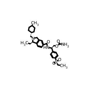 CC[C@@H]1c2ccc(C(=O)N[C@@H](COC(N)=O)c3ccc(S(=O)(=O)CC)cc3)cc2CN1C[C@H]1CC[C@H](C)CC1